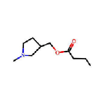 CCCC(=O)OCC1CCN(C)C1